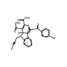 CC#CCN1c2ccccc2[C@@]23CCN(C(=O)c4ccc(Br)cc4)C2=NC(C(=O)OC)=C(C(=O)OC)[C@@H]13